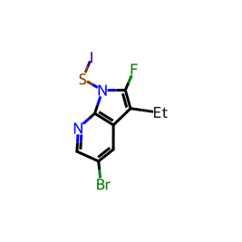 CCc1c(F)n(SI)c2ncc(Br)cc12